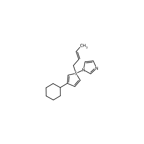 CC=CCS1(n2ccnc2)C=CC(C2CCCCC2)=C1